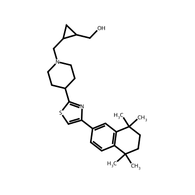 CC1(C)CCC(C)(C)c2cc(-c3csc(C4CCN(CC5CC5CO)CC4)n3)ccc21